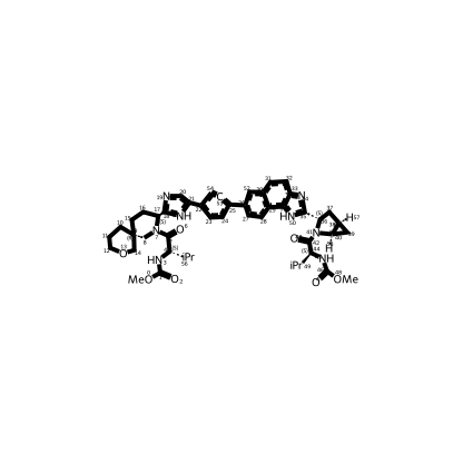 COC(=O)N[C@H](C(=O)N1C[C@]2(CCCOC2)CC[C@H]1c1ncc(-c2ccc(-c3ccc4c(ccc5nc([C@@H]6C[C@H]7C[C@H]7N6C(=O)[C@@H](NC(=O)OC)C(C)C)[nH]c54)c3)cc2)[nH]1)C(C)C